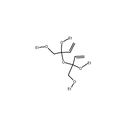 C=CC(COCC)(OCC)OC(C=C)(COCC)OCC